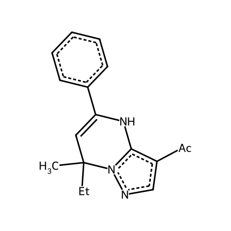 CCC1(C)C=C(c2ccccc2)Nc2c(C(C)=O)cnn21